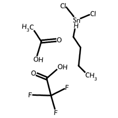 CC(=O)O.CCC[CH2][SnH]([Cl])[Cl].O=C(O)C(F)(F)F